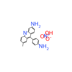 Cc1ccc2nc3cc(N)ccc3c(-c3ccc(N)cc3)c2c1.O=[N+]([O-])O